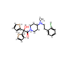 CN(CCc1ccccc1F)C1CCN(C(=O)C(O)(c2cccs2)c2cccs2)CC1